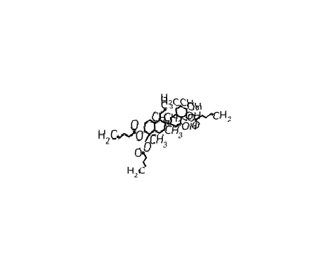 C=CCCC(=O)OC[C@@]12C(CC(C)(C)[C@@H](O)[C@@H]1O)C[C@](C)([C@]1(C)CCC3[C@](C)(CC[C@H](OC(=O)CCC=C)[C@]3(C)COC(=O)CCC=C)C1CC=C)C[C@H]2O